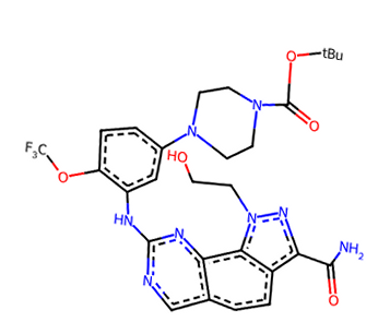 CC(C)(C)OC(=O)N1CCN(c2ccc(OC(F)(F)F)c(Nc3ncc4ccc5c(C(N)=O)nn(CCO)c5c4n3)c2)CC1